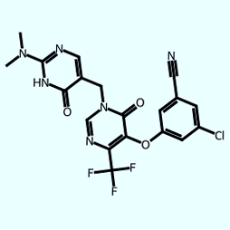 CN(C)c1ncc(Cn2cnc(C(F)(F)F)c(Oc3cc(Cl)cc(C#N)c3)c2=O)c(=O)[nH]1